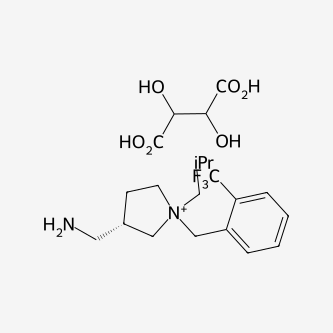 CC(C)C[N+]1(Cc2ccccc2C(F)(F)F)CC[C@@H](CN)C1.O=C(O)C(O)C(O)C(=O)O